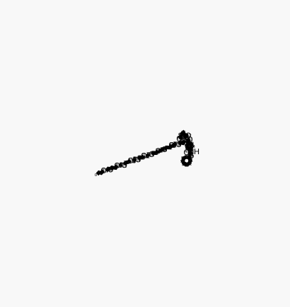 CCCOCCOCCOCCOCCOCCOCCOCCOCCOCCOCCOCCOCCN(C(=O)c1ccc(NC(=O)OC2CCC=CCCC2)cc1)N1C(=O)CCC1=O